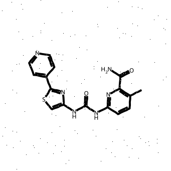 Cc1ccc(NC(=O)Nc2csc(-c3ccncc3)n2)nc1C(N)=O